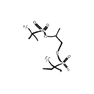 CC(COS(=O)(=O)C(C)(C)C(F)(F)F)OS(=O)(=O)C(C)(C)C(F)(F)F